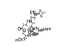 CCCCCCCCC(CCCCCC)COC(=O)CCCN(CCCC(=O)OCC(CCCCCC)CCCCCCCC)CCN(CC)C1CCC1